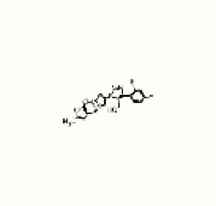 Cc1cc(CN2CCC(n3nnc(-c4ccc(F)cc4F)c3CO)C2)c(C)o1